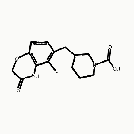 O=C1COc2ccc(CC3CCCN(C(=O)O)C3)c(F)c2N1